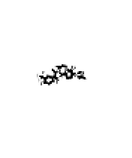 CC1=CCn2c(ccc(-n3cnc(C)c3)c2=O)C(=O)N1C(C)c1coc2cc(F)c(C(F)(F)F)cc12